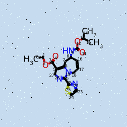 CCOC(=O)C1=C2CC(NC(=O)OC(C)C)C=CCN2C(c2nccs2)=NC1